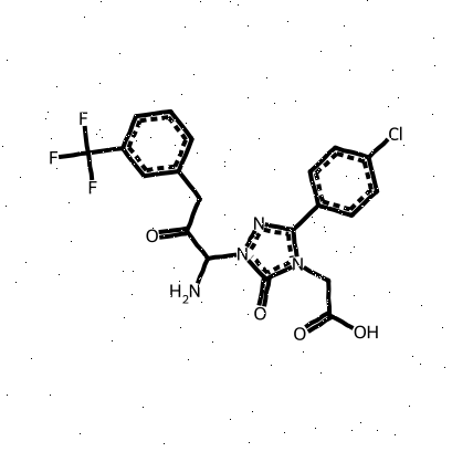 NC(C(=O)Cc1cccc(C(F)(F)F)c1)n1nc(-c2ccc(Cl)cc2)n(CC(=O)O)c1=O